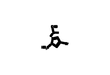 CN(C)C=O.O=S(=O)(O)n1cc(Br)cn1